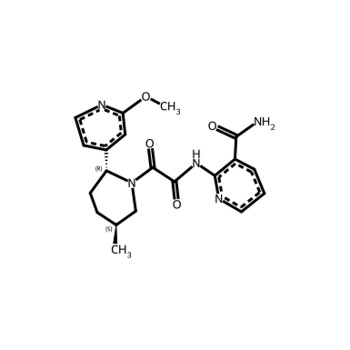 COc1cc([C@H]2CC[C@H](C)CN2C(=O)C(=O)Nc2ncccc2C(N)=O)ccn1